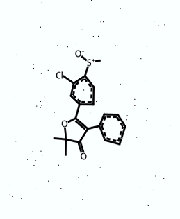 C[S+]([O-])c1ccc(C2=C(c3ccccc3)C(=O)C(C)(C)O2)cc1Cl